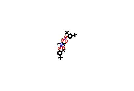 CCN1P(Oc2ccc(C(C)(C)C)cc2C(C)(C)C)OCC12COP(Oc1ccc(C(C)(C)C)cc1C(C)(C)C)OC2